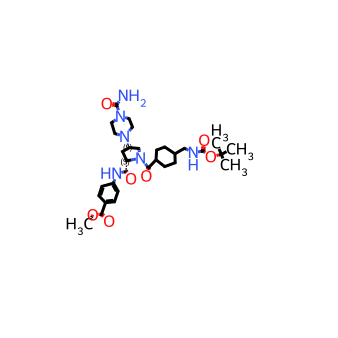 COC(=O)c1ccc(NC(=O)[C@@H]2C[C@H](N3CCN(C(N)=O)CC3)CN2C(=O)C2CCC(CNC(=O)OC(C)(C)C)CC2)cc1